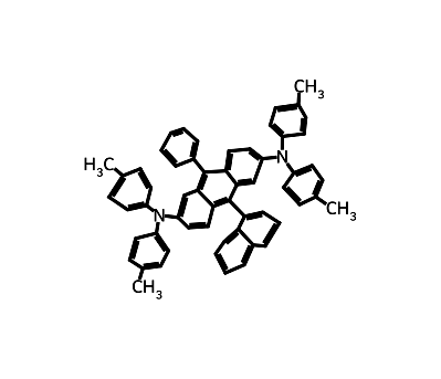 Cc1ccc(N(c2ccc(C)cc2)c2ccc3c(-c4cccc5ccccc45)c4cc(N(c5ccc(C)cc5)c5ccc(C)cc5)ccc4c(-c4ccccc4)c3c2)cc1